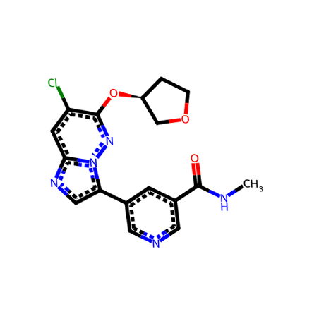 CNC(=O)c1cncc(-c2cnc3cc(Cl)c(O[C@H]4CCOC4)nn23)c1